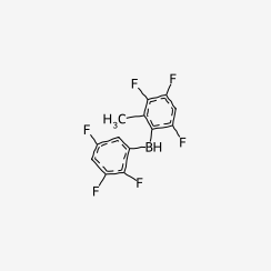 Cc1c(F)c(F)cc(F)c1Bc1cc(F)cc(F)c1F